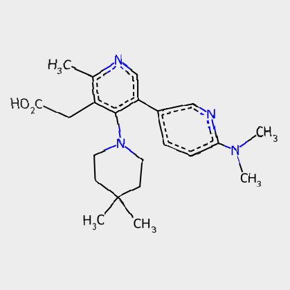 Cc1ncc(-c2ccc(N(C)C)nc2)c(N2CCC(C)(C)CC2)c1CC(=O)O